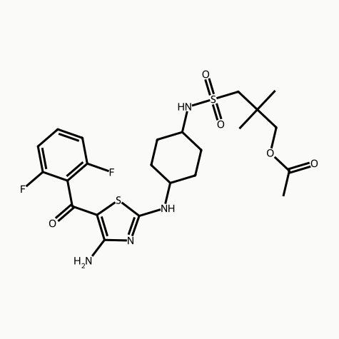 CC(=O)OCC(C)(C)CS(=O)(=O)NC1CCC(Nc2nc(N)c(C(=O)c3c(F)cccc3F)s2)CC1